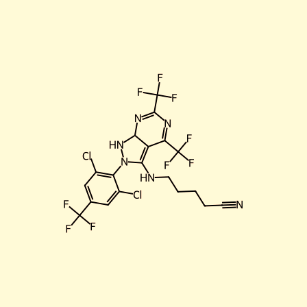 N#CCCCCNC1=C2C(C(F)(F)F)=NC(C(F)(F)F)=NC2NN1c1c(Cl)cc(C(F)(F)F)cc1Cl